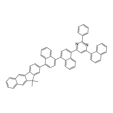 CC1(C)c2cc(-c3ccc(-c4ccc(-c5cc(-c6cccc7ccccc67)nc(-c6ccccc6)n5)c5ccccc45)c4ccccc34)ccc2-c2cc3ccccc3cc21